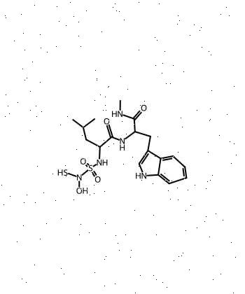 CNC(=O)C(Cc1c[nH]c2ccccc12)NC(=O)C(CC(C)C)NS(=O)(=O)N(O)S